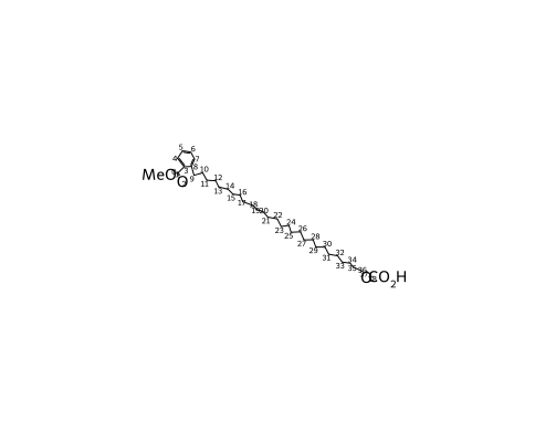 COC(=O)c1ccccc1CCCCCCCCCCCCCCCCCCCCCCCCCCCCOC(=O)O